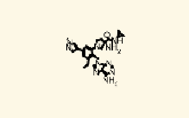 CCc1cc(-c2cnn(C)c2)cc(N2CC[C@](N)(C(=O)NC3CC3)C2)c1Cn1cnc2c(N)ncnc21